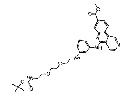 COC(=O)c1ccc2c(c1)nc(Nc1cccc(NCCOCCOCCNC(=O)OC(C)(C)C)c1)c1ccncc12